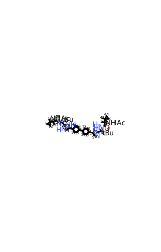 CC(=O)NC(C)(C(=O)N[C@H](c1ncc(-c2ccc(-c3ccc(-c4cnc([C@@H](NC(=O)C(C)(NC(C)=O)C5(C)CC5)C(C)(C)C)[nH]4)cc3)cc2)[nH]1)C(C)(C)C)C1(C)CC1